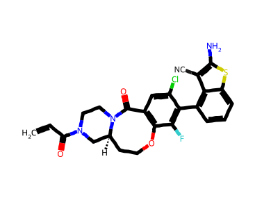 C=CC(=O)N1CCN2C(=O)c3cc(Cl)c(-c4cccc5sc(N)c(C#N)c45)c(F)c3OCC[C@H]2C1